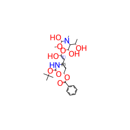 COC(O)N(C)C(C(C)O)C(O)O/C(O)=C/[C@@H](CCOC(=O)c1ccccc1)NC(=O)OC(C)(C)C